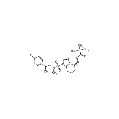 CN(CC(O)c1ccc(F)cc1)S(=O)(=O)c1csc2c1CCC/C2=N/OC(=O)C(C)(C)C